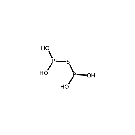 OP(O)SP(O)O